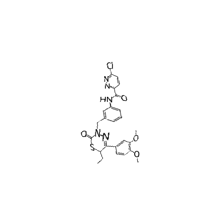 CCC1SC(=O)N(Cc2cccc(NC(=O)c3ccc(Cl)nn3)c2)N=C1c1ccc(OC)c(OC)c1